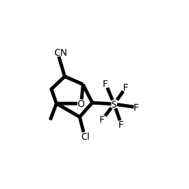 CC12CC(C#N)C(O1)C(S(F)(F)(F)(F)F)C2Cl